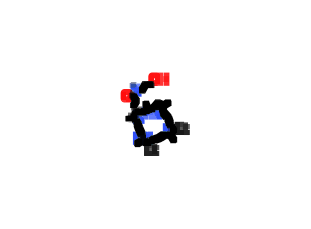 CCC1=C(C)c2cc3[nH]c(cc4nc(c(C)c5cc(C)c(cc1n2)[nH]5)[C@@H](CCC(=O)N(C)CCCO)[C@@H]4C)c(C)c3CC